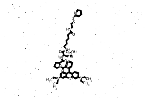 CCN(CC)c1ccc2c(-c3ccccc3C(=O)N3CCCC3C(=O)NC(CS(=O)(=O)O)C(=O)NCCCCCC(=O)NCCSSc3ccccn3)c3ccc(N(CC)CC)cc3[o+]c2c1